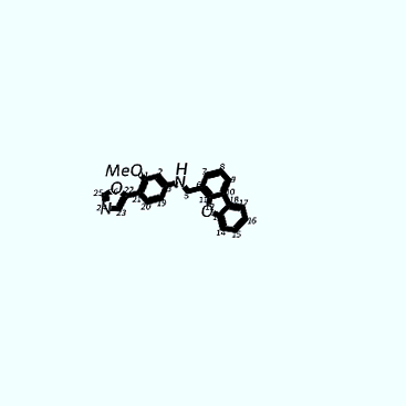 COc1cc(NCc2cccc3c2oc2ccccc23)ccc1-c1cnco1